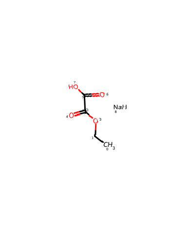 CCOC(=O)C(=O)O.[NaH]